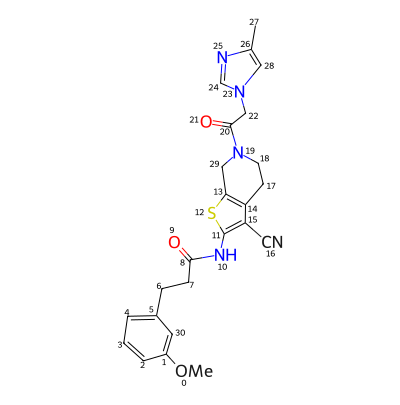 COc1cccc(CCC(=O)Nc2sc3c(c2C#N)CCN(C(=O)Cn2cnc(C)c2)C3)c1